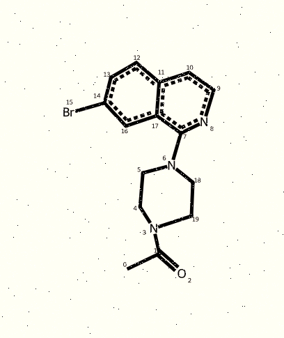 CC(=O)N1CCN(c2nccc3ccc(Br)cc23)CC1